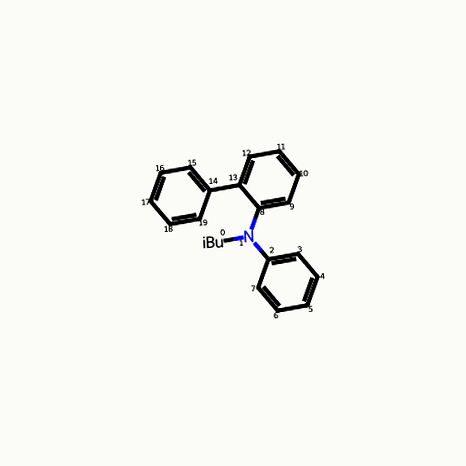 CCC(C)N(c1ccccc1)c1ccccc1-c1ccccc1